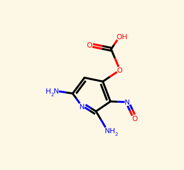 Nc1cc(OC(=O)O)c(N=O)c(N)n1